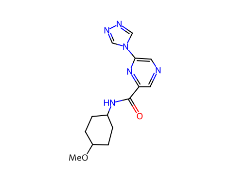 COC1CCC(NC(=O)c2cncc(-n3cnnc3)n2)CC1